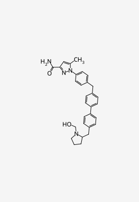 Cc1cc(C(N)=O)nn1-c1ccc(Cc2ccc(-c3ccc(CC4CCCN4CO)cc3)cc2)cc1